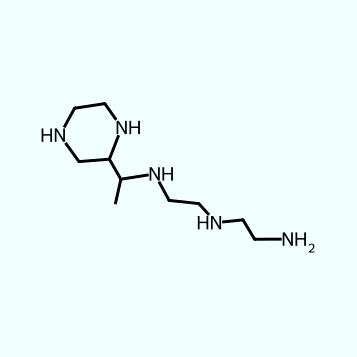 CC(NCCNCCN)C1CNCCN1